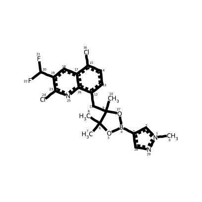 Cn1cc(B2OC(C)(C)C(C)(Cc3ccc(Cl)c4cc(C(F)F)c(Cl)nc34)O2)cn1